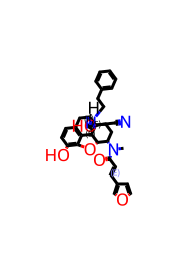 CN(C(=O)/C=C/c1ccoc1)C1CC[C@@]2(O)[C@H]3Cc4ccc(O)c5c4[C@@]2(CC(C#N)N3CCc2ccccc2)C1O5